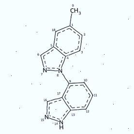 Cc1ccc2c(cnn2-c2cccc3[nH]ncc23)c1